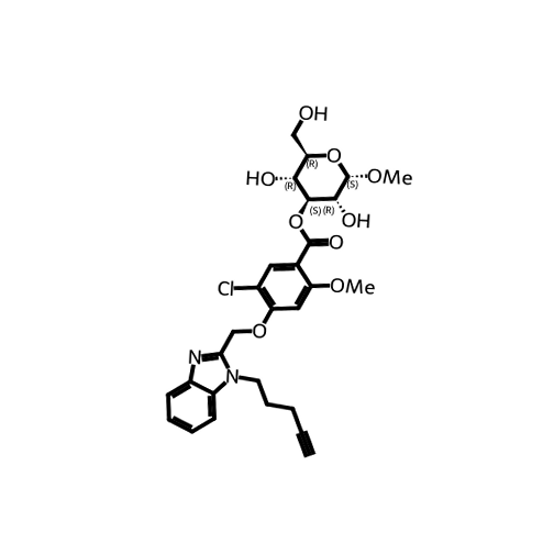 C#CCCCn1c(COc2cc(OC)c(C(=O)O[C@@H]3[C@@H](O)[C@@H](OC)O[C@H](CO)[C@H]3O)cc2Cl)nc2ccccc21